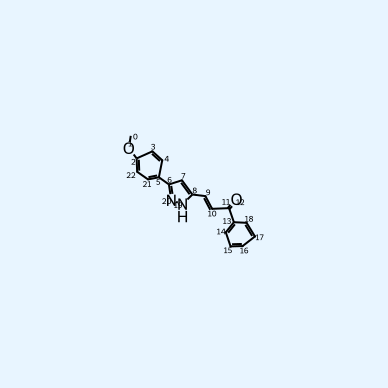 COc1ccc(-c2cc(/C=C/C(=O)c3ccccc3)[nH]n2)cc1